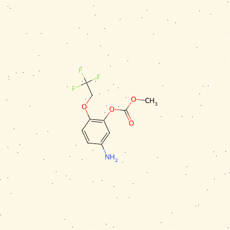 COC(=O)Oc1cc(N)ccc1OCC(F)(F)F